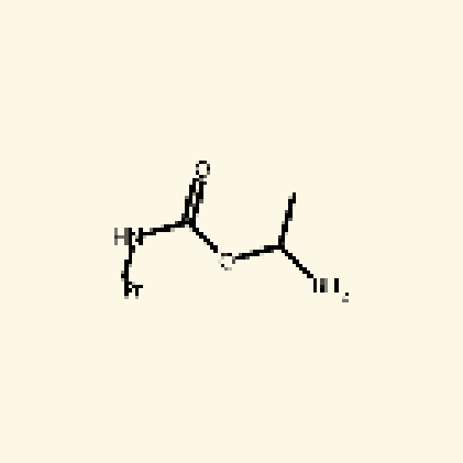 BC(C)OC(=O)NC(C)C